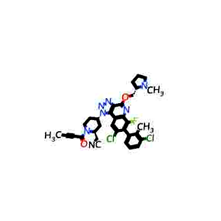 CC#CC(=O)N1CC[C@H](n2nnc3c(OC[C@@H]4CCCN4C)nc4c(F)c(-c5cccc(Cl)c5C)c(Cl)cc4c32)C[C@H]1CC#N